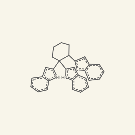 c1ccc2[nH]c(C3CCCCC3(c3cc4ccccc4[nH]3)c3cc4ccccc4[nH]3)cc2c1